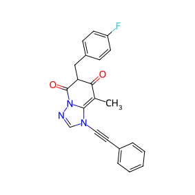 CC1=C2N(C#Cc3ccccc3)C=NN2C(=O)C(Cc2ccc(F)cc2)C1=O